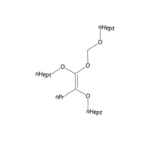 CCCCCCCOCOC(OCCCCCCC)=C(CCC)OCCCCCCC